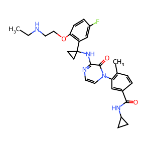 CCNCCOc1ccc(F)cc1C1(Nc2nccn(-c3cc(C(=O)NC4CC4)ccc3C)c2=O)CC1